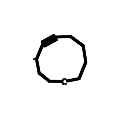 C1#CCCCCCCC[CH]1